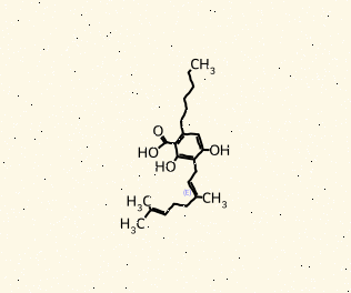 CCCCCCc1cc(O)c(C/C=C(\C)CCC=C(C)C)c(O)c1C(=O)O